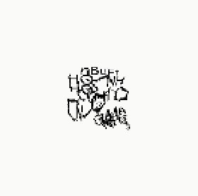 CCCC[C@]1(CC)CS(O)(O)c2cc(CN3CCC[C@@H]3C(=O)O)c(OC)cc2[C@@H](c2ccccc2)N1.N.N